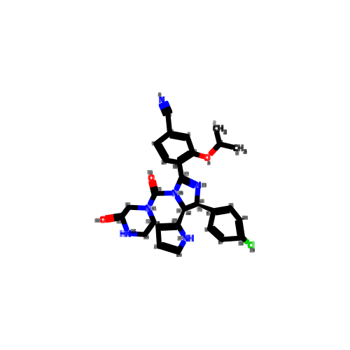 CC(C)Oc1cc(C#N)ccc1C1=N[C@@H](c2ccc(Cl)cc2)[C@@H](c2ccc[nH]2)N1C(=O)N1CCNC(=O)C1